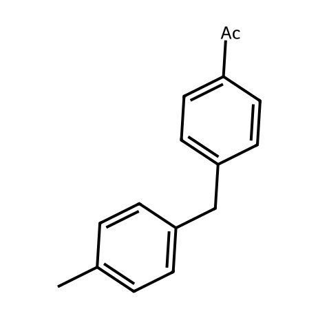 CC(=O)c1ccc(Cc2ccc(C)cc2)cc1